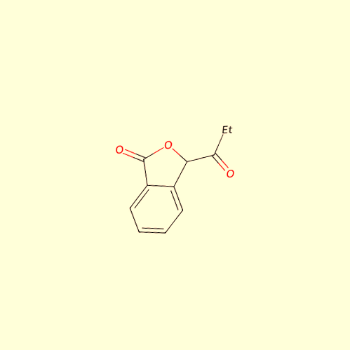 CCC(=O)C1OC(=O)c2ccccc21